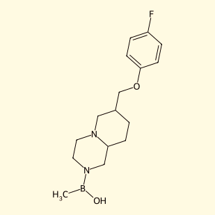 CB(O)N1CCN2CC(COc3ccc(F)cc3)CCC2C1